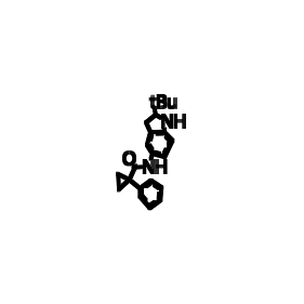 CC(C)(C)C1Cc2cc(NC(=O)C3(c4ccccc4)CC3)ccc2N1